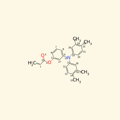 C=CC(=O)Oc1cccc(N(c2ccc(C)c(C)c2)c2ccc(C)c(C)c2)c1